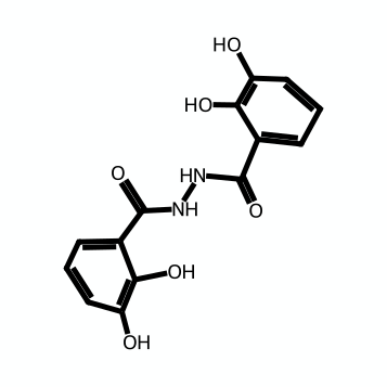 O=C(NNC(=O)c1cccc(O)c1O)c1cccc(O)c1O